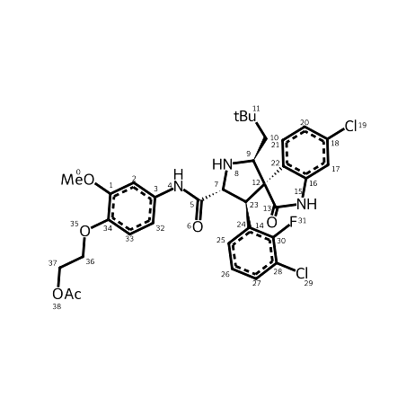 COc1cc(NC(=O)[C@@H]2N[C@@H](CC(C)(C)C)[C@@]3(C(=O)Nc4cc(Cl)ccc43)[C@H]2c2cccc(Cl)c2F)ccc1OCCOC(C)=O